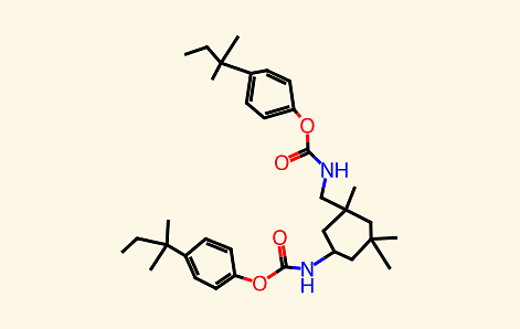 CCC(C)(C)c1ccc(OC(=O)NCC2(C)CC(NC(=O)Oc3ccc(C(C)(C)CC)cc3)CC(C)(C)C2)cc1